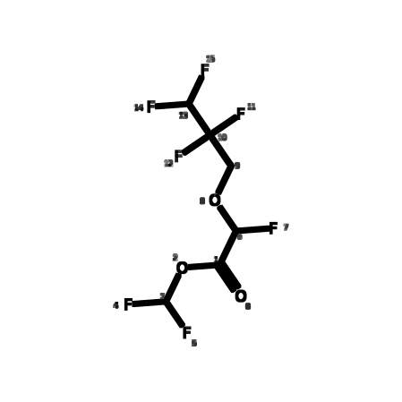 O=C(OC(F)F)C(F)OCC(F)(F)C(F)F